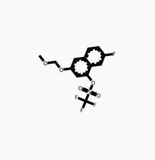 COCOc1cc(OS(=O)(=O)C(F)(F)F)c2cc(F)ccc2c1